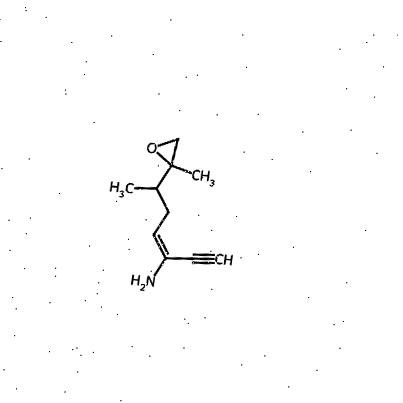 C#C/C(N)=C\CC(C)C1(C)CO1